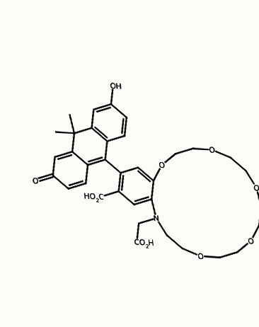 CC1(C)C2=CC(=O)C=CC2=C(c2cc3c(cc2C(=O)O)N(CC(=O)O)CCOCCOCCOCCOCCO3)c2ccc(O)cc21